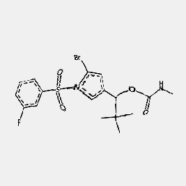 CNC(=O)OC(c1cc(Br)n(S(=O)(=O)c2cccc(F)c2)c1)C(C)(C)C